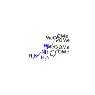 CO[Si](CCCNCCNCCN)(OC)OC.CO[Si](OC)(OC)c1ccc(N)cc1